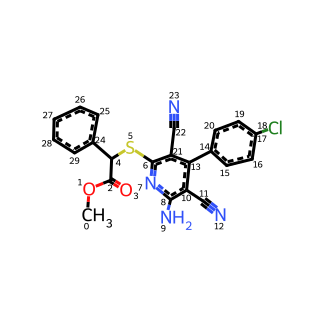 COC(=O)C(Sc1nc(N)c(C#N)c(-c2ccc(Cl)cc2)c1C#N)c1ccccc1